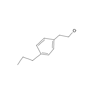 CCCc1ccc(CC[O])cc1